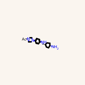 CC(=O)N1CCN(c2ccc(NC[C@H]3CC[C@H](N)CC3)cc2)CC1